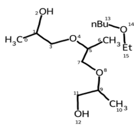 CC(O)COC(C)COC(C)CO.CCCCOCC